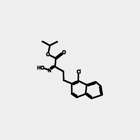 CC(C)OC(=O)C(CCc1ccc2ccccc2c1Cl)=NO